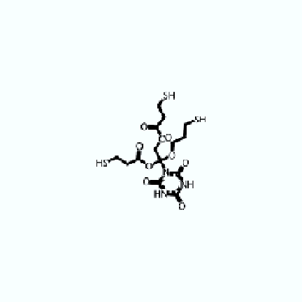 O=C(CCS)OCC(OC(=O)CCS)(OC(=O)CCS)n1c(=O)[nH]c(=O)[nH]c1=O